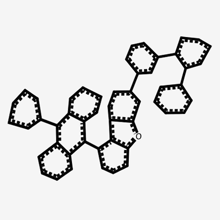 c1ccc(-c2ccccc2-c2cccc(-c3ccc4c(c3)oc3cccc(-c5c6ccccc6c(-c6ccccc6)c6ccccc56)c34)c2)cc1